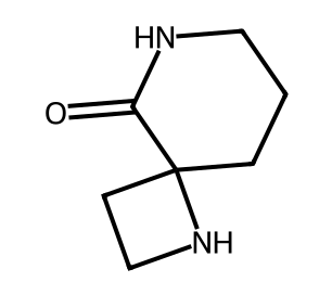 O=C1NCCCC12CCN2